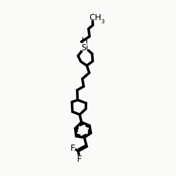 CCCCC[SiH]1CCC(CCCCC2CCC(c3ccc(C=C(F)F)cc3)CC2)CC1